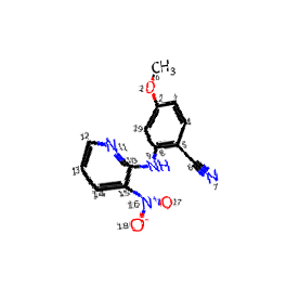 COc1ccc(C#N)c(Nc2ncccc2[N+](=O)[O-])c1